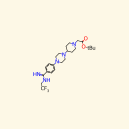 CC(C)(C)OC(=O)CN1CCC(N2CCN(c3ccc(C(=N)NCC(F)(F)F)cc3)CC2)CC1